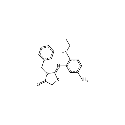 CCNc1ccc(N)cc1N=C1SCC(=O)N1Cc1ccccc1